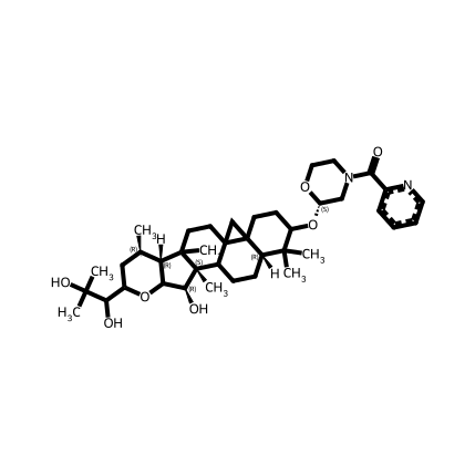 C[C@@H]1CC(C(O)C(C)(C)O)OC2[C@H]1C1(C)CCC34CC35CCC(O[C@H]3CN(C(=O)c6ccccn6)CCO3)C(C)(C)[C@@H]5CCC4[C@]1(C)[C@H]2O